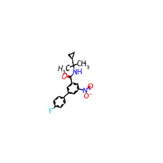 CC(C)(NC(=O)c1cc(-c2ccc(F)cc2)cc([N+](=O)[O-])c1)C1CC1